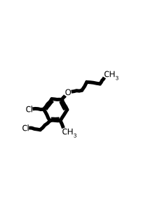 CCCCOc1cc(C)c(CCl)c(Cl)c1